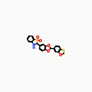 O=S1(=O)c2ccccc2NC1c1ccc2c(c1)OC(c1ccc3c(c1)OCS3)O2